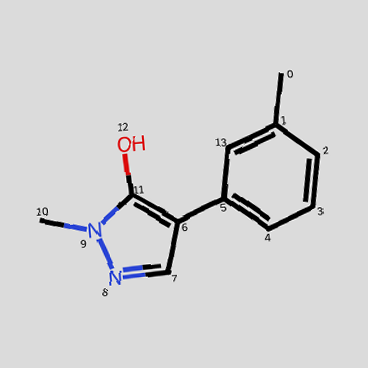 Cc1cccc(-c2cnn(C)c2O)c1